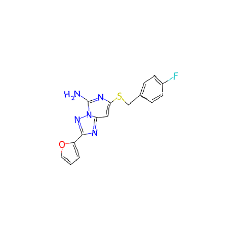 Nc1nc(SCc2ccc(F)cc2)cc2nc(-c3ccco3)nn12